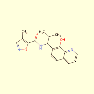 Cc1cnoc1C(=O)NC(c1ccc2cccnc2c1O)C(C)C